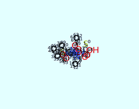 CSCCC(NC(=O)[C@@H]1Cc2ccccc2CN1C(=O)[C@H](C(C)C)N(C[C@H](CSC(c1ccccc1)(c1ccccc1)c1ccccc1)NC(=O)OC(C)(C)C)C(=O)OCc1ccccc1)C(=O)O